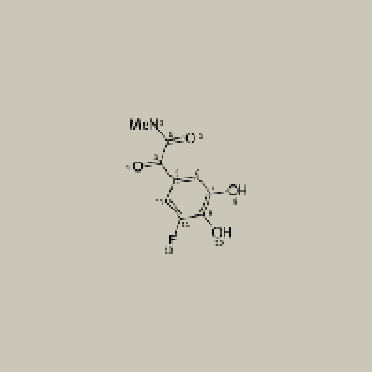 CNC(=O)C(=O)c1cc(O)c(O)c(F)c1